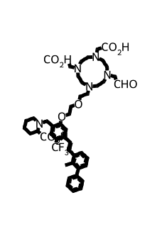 Cc1c(/C=C/c2cc(OCCOCCN3CCN(CC=O)CCN(CC(=O)O)CCN(CC(=O)O)CC3)c(CN3CCCCC3C(=O)O)cc2C(F)(F)F)cccc1-c1ccccc1